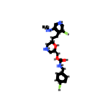 CNc1cncc(F)c1CC[C@@H]1CNC[C@@H](COC(=O)NCc2ccc(F)cc2)O1